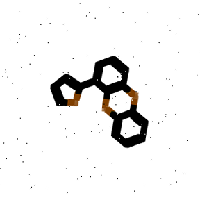 c1csc(-c2cccc3c2Sc2ccccc2S3)c1